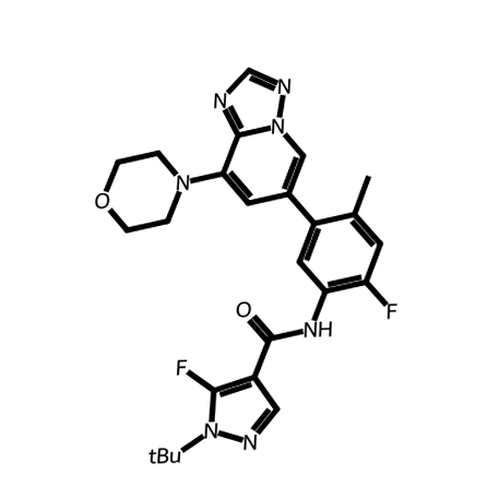 Cc1cc(F)c(NC(=O)c2cnn(C(C)(C)C)c2F)cc1-c1cc(N2CCOCC2)c2ncnn2c1